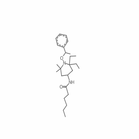 CCCCCC(=O)NC1CC(C)(C)N(OC(C)c2ccccc2)C(CC)(CC)C1